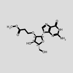 COC(=O)CCO[C@@H]1[C@H](O)[C@@H](CO)O[C@H]1n1cnc2c(=O)[nH]c(N)nc21